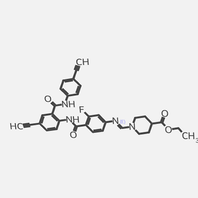 C#Cc1ccc(NC(=O)c2cc(C#C)ccc2NC(=O)c2ccc(/N=C/N3CCC(C(=O)OCC)CC3)cc2F)cc1